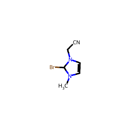 CN1C=CN(CC#N)C1Br